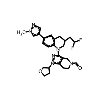 Cn1cc(-c2ccc3c(c2)CC(CC(F)F)CN3c2nn(C3CCOC3)c3c2CN(C=O)CC3)cn1